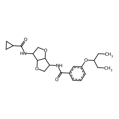 CCC(CC)Oc1cccc(C(=O)NC2COC3C(NC(=O)C4CC4)COC23)c1